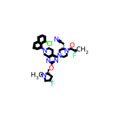 C=C(F)C(=O)N1CCN(c2nc(OC[C@H]3C[C@@H](F)CN3C)nc3c2CCN(c2cccc4cccc(Cl)c24)C3)C[C@@H]1CC#N